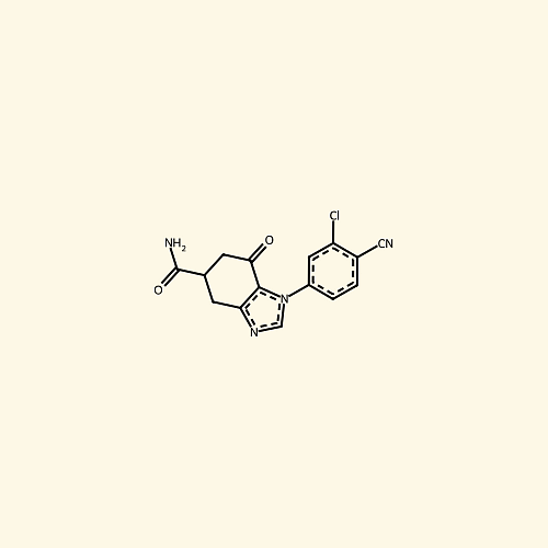 N#Cc1ccc(-n2cnc3c2C(=O)CC(C(N)=O)C3)cc1Cl